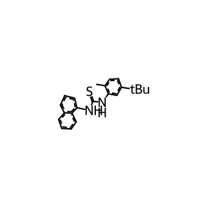 Cc1ccc(C(C)(C)C)cc1NC(=S)Nc1cccc2ccccc12